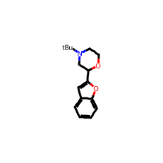 CC(C)(C)N1CCOC(c2cc3ccccc3o2)C1